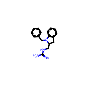 N=C(N)NCC1Cc2ccccc2N1Cc1ccccc1